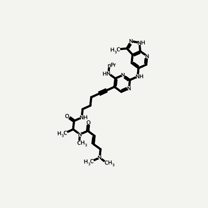 CCCNc1nc(Nc2cnc3[nH]nc(C)c3c2)ncc1C#CCCCNC(=O)C(C)N(C)C(=O)/C=C/CN(C)C